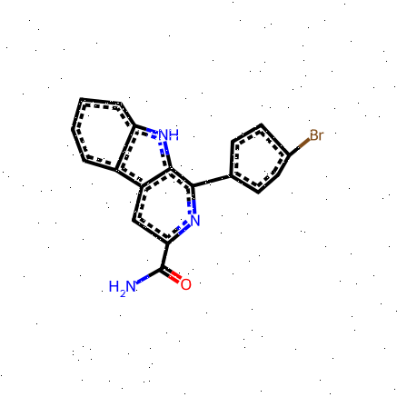 NC(=O)c1cc2c([nH]c3ccccc32)c(-c2ccc(Br)cc2)n1